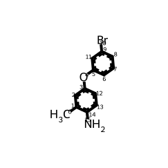 Cc1cc(Oc2cccc(Br)c2)ccc1N